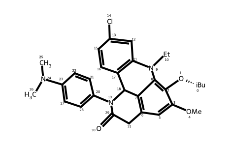 CC[C@@H](C)Oc1c(OC)cc2c3c1N(CC)c1cc(Cl)ccc1C3N(c1ccc(N(C)C)cc1)C(=O)C2